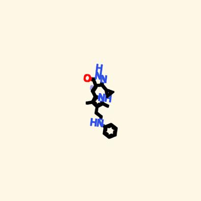 Cc1[nH]c(/C=C2/C(=O)NN=C2C2CC2)c(C)c1CCNc1ccccc1